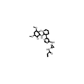 C=CC(=O)N[C@H]1C[C@H]1Nc1cc(-c2cccnc2Nc2c(Cl)c(OC)cc(OC)c2Cl)ncn1